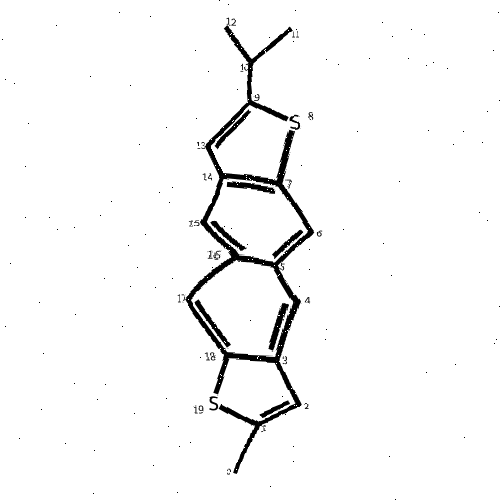 Cc1cc2cc3cc4sc(C(C)C)cc4cc3cc2s1